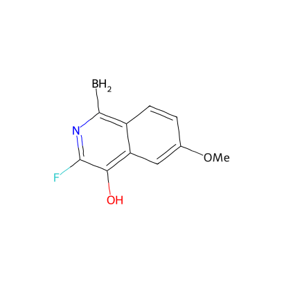 Bc1nc(F)c(O)c2cc(OC)ccc12